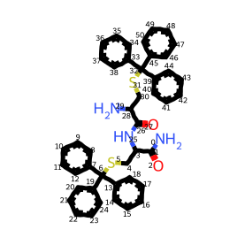 NC(=O)C(CSC(c1ccccc1)(c1ccccc1)c1ccccc1)NC(=O)C(N)CSC(c1ccccc1)(c1ccccc1)c1ccccc1